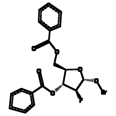 O=C(OC[C@H]1O[C@H](OBr)[C@@H](F)[C@@H]1OC(=O)c1ccccc1)c1ccccc1